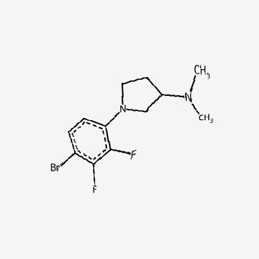 CN(C)C1CCN(c2ccc(Br)c(F)c2F)C1